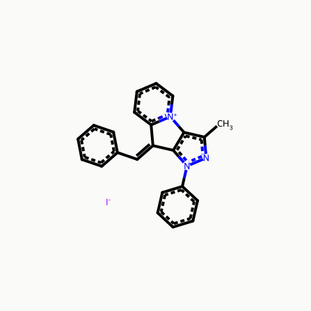 Cc1nn(-c2ccccc2)c2c1-[n+]1ccccc1C2=Cc1ccccc1.[I-]